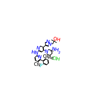 COc1cccc(F)c1-c1nc(Nc2cc(N3CCC[C@H](N)C3)c(-c3cnn(CC(C)(C)O)c3)cn2)ccc1C#N.Cl